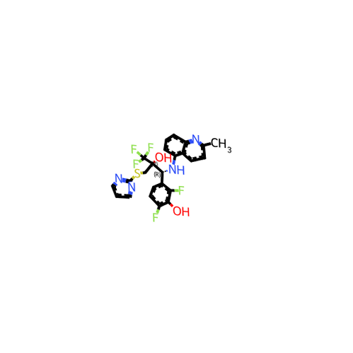 Cc1ccc2c(N[C@H](c3ccc(F)c(O)c3F)[C@](O)(CSc3ncccn3)C(F)(F)F)cccc2n1